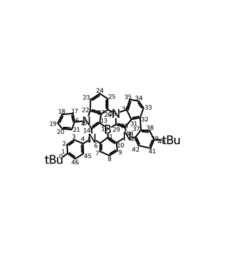 CC(C)(C)c1ccc(N2c3cccc4c3B3c5c2n(-c2ccccc2)c2cccc(c52)-n2c3c3c5c(cccc52)-c2cc(C(C)(C)C)ccc2N43)cc1